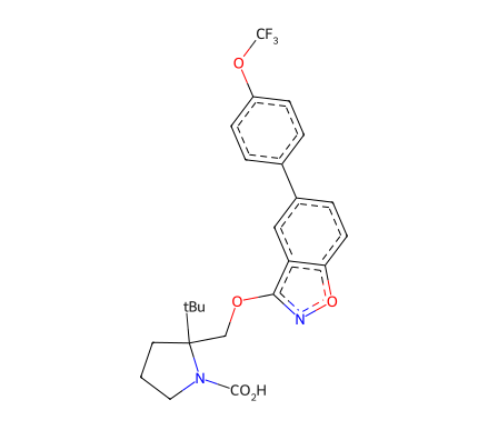 CC(C)(C)C1(COc2noc3ccc(-c4ccc(OC(F)(F)F)cc4)cc23)CCCN1C(=O)O